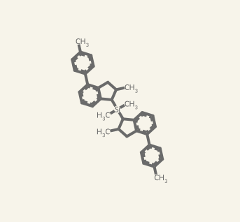 Cc1ccc(-c2cccc3c2CC(C)C3[Si](C)(C)C2c3cccc(-c4ccc(C)cc4)c3CC2C)cc1